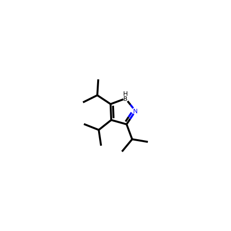 CC(C)C1=NBC(C(C)C)=C1C(C)C